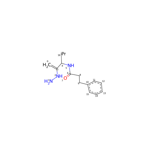 C=C(NN)C(NC(=O)CCc1ccccc1)C(C)C